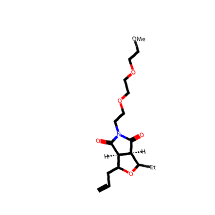 C=CCC1OC(CC)[C@@H]2C(=O)N(CCOCCOCCOC)C(=O)[C@H]12